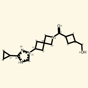 O=C(C1CC(CO)C1)N1CC2(CC(n3cnc(C4CC4)n3)C2)C1